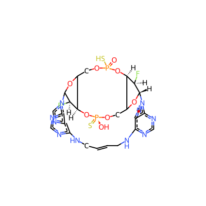 O=P1(S)OCC2OC3[C@H](F)[C@@H]2O[P@@](O)(=S)OCC2O[C@H]([C@H](F)[C@@H]2O1)n1cnc2c(ncnc21)NC/C=C/CNc1ncnc2c1ncn23